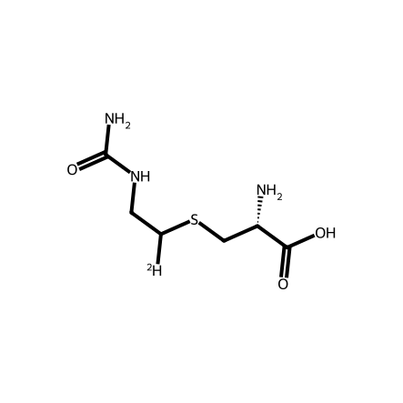 [2H]C(CNC(N)=O)SC[C@H](N)C(=O)O